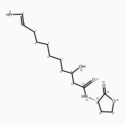 CCCC=CCCCCCCC(O)CC(=O)N[C@H]1CCOC1=O